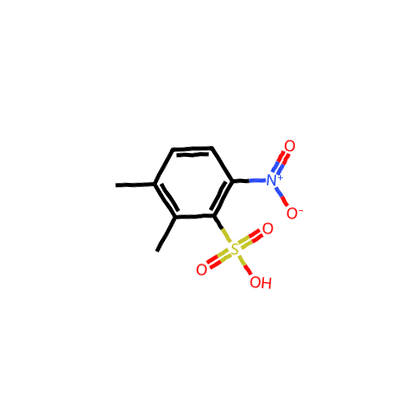 Cc1ccc([N+](=O)[O-])c(S(=O)(=O)O)c1C